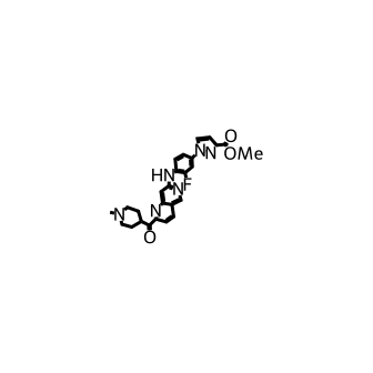 COC(=O)c1ccn(-c2ccc(Nc3cc4nc(C(=O)C5CCN(C)CC5)ccc4cn3)c(F)c2)n1